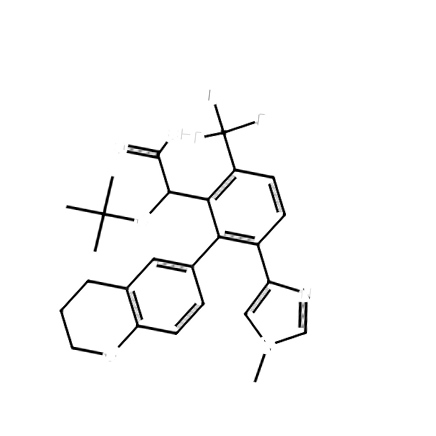 Cn1cnc(-c2ccc(C(F)(F)F)c(C(OC(C)(C)C)C(=O)O)c2-c2ccc3c(c2)CCCO3)c1